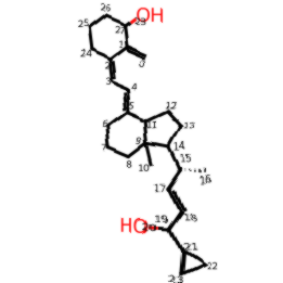 C=C1/C(=C\C=C2/CCCC3(C)C2CCC3[C@H](C)/C=C/C(O)C2CC2)CCCC1O